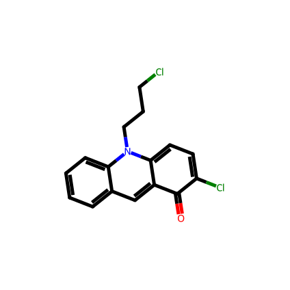 O=c1c(Cl)ccc2n(CCCCl)c3ccccc3cc1-2